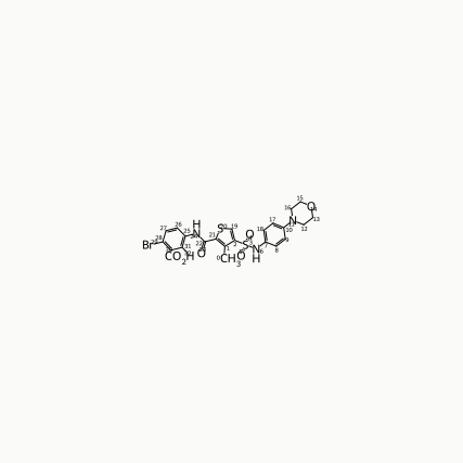 Cc1c(S(=O)(=O)Nc2ccc(N3CCOCC3)cc2)csc1C(=O)Nc1ccc(Br)cc1C(=O)O